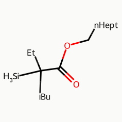 CCCCCCCCOC(=O)C([SiH3])(CC)C(C)CC